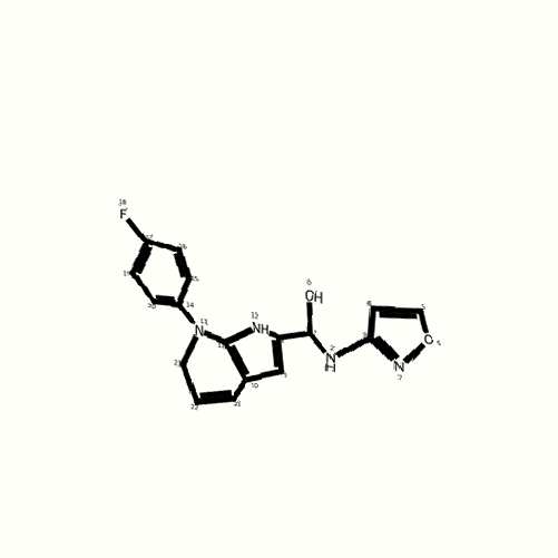 OC(Nc1ccon1)c1cc2c([nH]1)N(c1ccc(F)cc1)CC=C2